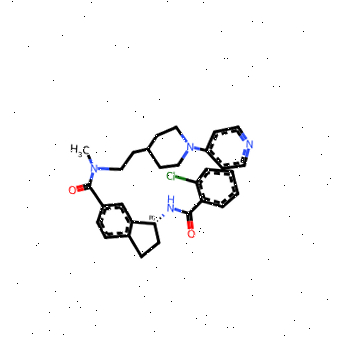 CN(CCC1CCN(c2ccncc2)CC1)C(=O)c1ccc2c(c1)[C@H](NC(=O)c1ccccc1Cl)CC2